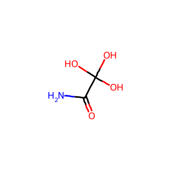 NC(=O)C(O)(O)O